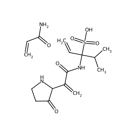 C=CC(N)=O.C=CC(NC(=O)C(=C)C1NCCC1=O)(C(C)C)S(=O)(=O)O